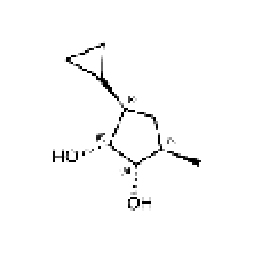 C[C@@H]1C[C@H](C2CC2)[C@@H](O)[C@H]1O